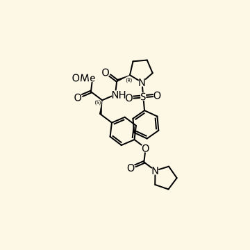 COC(=O)[C@H](Cc1ccc(OC(=O)N2CCCC2)cc1)NC(=O)[C@H]1CCCN1S(=O)(=O)c1ccccc1